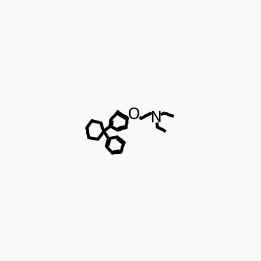 CCN(CC)CCOc1ccc(C2(c3ccccc3)CCCCC2)cc1